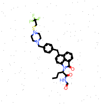 CCCC(C(=O)NC=O)N1C(=O)c2cccc3c(Cc4ccc(CN5CCN(SCC(F)(F)F)CC5)cc4)ccc1c23